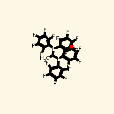 CC(P(c1c(F)c(F)c(F)c(F)c1F)c1c(F)c(F)c(F)c(F)c1F)P(c1c(F)c(F)c(F)c(F)c1F)c1c(F)c(F)c(F)c(F)c1F